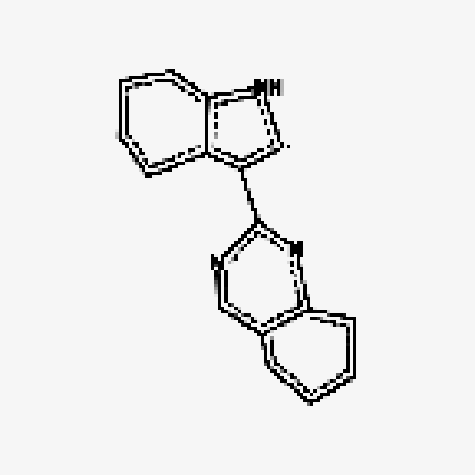 [c]1[nH]c2ccccc2c1-c1ncc2ccccc2n1